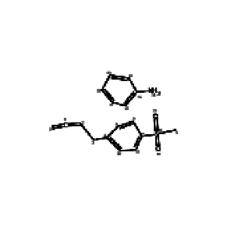 C=C=CCc1ccc(S(C)(=O)=O)cc1.Nc1ccccc1